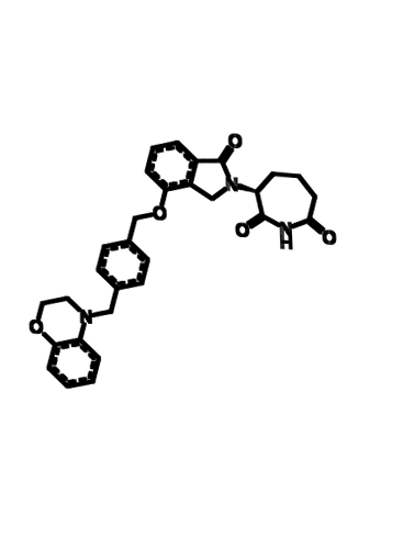 O=C1CCC[C@H](N2Cc3c(OCc4ccc(CN5CCOc6ccccc65)cc4)cccc3C2=O)C(=O)N1